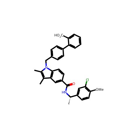 COc1ccc([C@H](C)NC(=O)c2ccc3c(c2)c(C)c(C)n3Cc2ccc(-c3ccccc3C(=O)O)cc2)cc1Cl